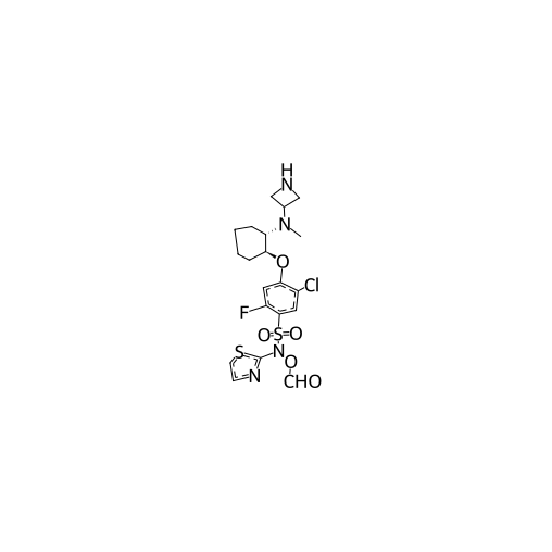 CN(C1CNC1)[C@H]1CCCC[C@@H]1Oc1cc(F)c(S(=O)(=O)N(OC=O)c2nccs2)cc1Cl